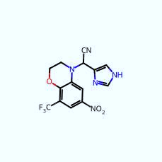 N#CC(c1c[nH]cn1)N1CCOc2c1cc([N+](=O)[O-])cc2C(F)(F)F